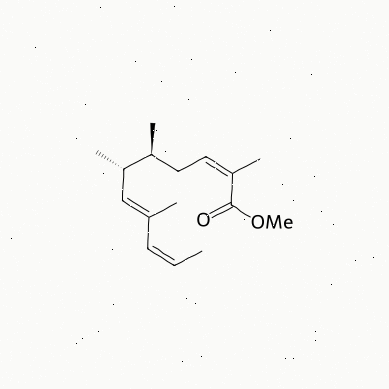 C/C=C\C(C)=C\[C@H](C)[C@@H](C)C/C=C(/C)C(=O)OC